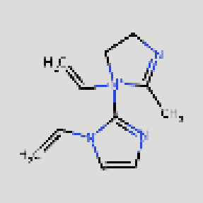 C=Cn1ccnc1[N+]1(C=C)CCN=C1C